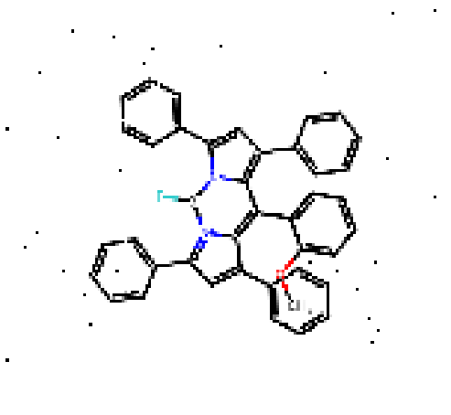 COc1ccccc1C1=C2C(c3ccccc3)=CC(c3ccccc3)=[N+]2B(F)n2c(-c3ccccc3)cc(-c3ccccc3)c21